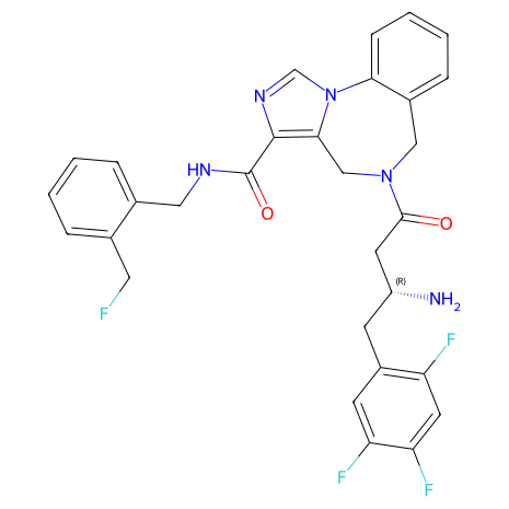 N[C@@H](CC(=O)N1Cc2ccccc2-n2cnc(C(=O)NCc3ccccc3CF)c2C1)Cc1cc(F)c(F)cc1F